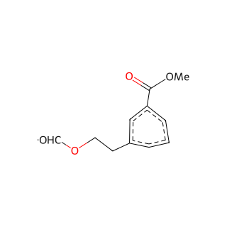 COC(=O)c1cccc(CCO[C]=O)c1